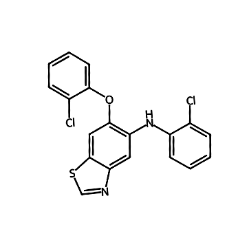 Clc1ccccc1Nc1cc2ncsc2cc1Oc1ccccc1Cl